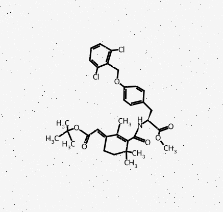 COC(=O)[C@H](Cc1ccc(OCc2c(Cl)cccc2Cl)cc1)NC(=O)C1=C(C)/C(=C/C(=O)OC(C)(C)C)CCC1(C)C